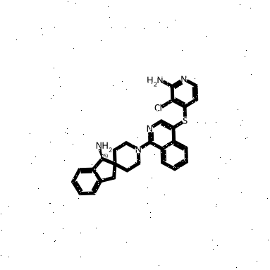 Nc1nccc(Sc2cnc(N3CCC4(CC3)Cc3ccccc3[C@H]4N)c3ccccc23)c1Cl